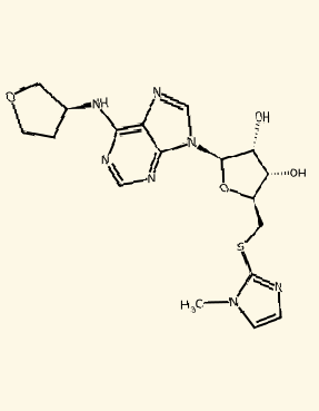 Cn1ccnc1SC[C@H]1O[C@@H](n2cnc3c(N[C@H]4CCOC4)ncnc32)[C@H](O)[C@@H]1O